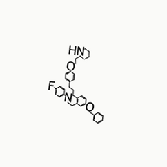 Fc1ccc(N2CCc3cc(OCc4ccccc4)ccc3C2CCc2ccc(OCCC3CCCCN3)cc2)cc1